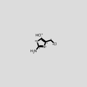 Cl.Nc1nc(CCl)cs1